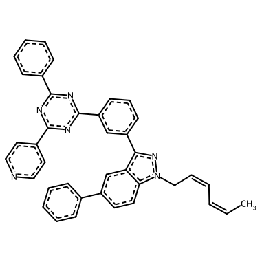 C/C=C\C=C/Cn1nc(-c2cccc(-c3nc(-c4ccccc4)nc(-c4ccncc4)n3)c2)c2cc(-c3ccccc3)ccc21